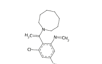 C=Nc1cc(Cl)cc(Cl)c1C(=C)N1CCCCCCC1